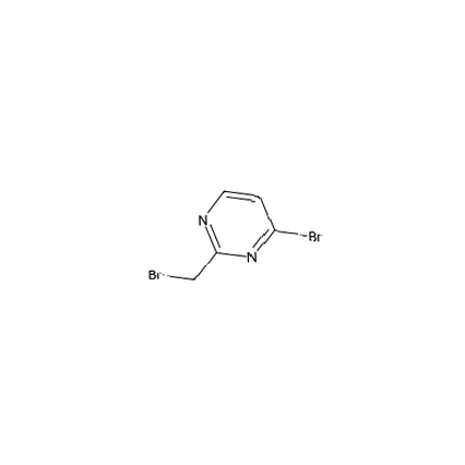 BrCc1nccc(Br)n1